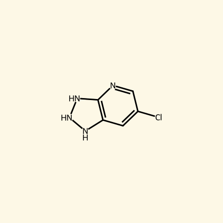 Clc1cnc2c(c1)NNN2